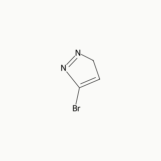 BrC1=CCN=N1